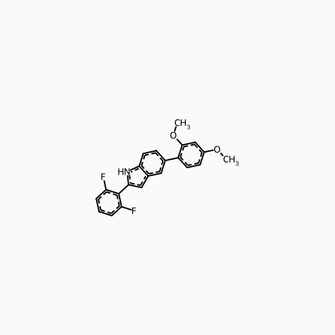 COc1ccc(-c2ccc3[nH]c(-c4c(F)cccc4F)cc3c2)c(OC)c1